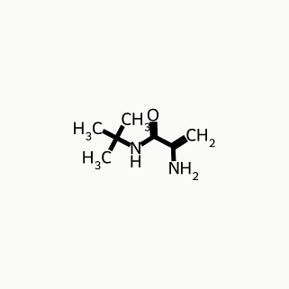 C=C(N)C(=O)NC(C)(C)C